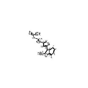 CCCCc1oc2ccccc2c1-c1cc(OCCN(CC)CC)cs1